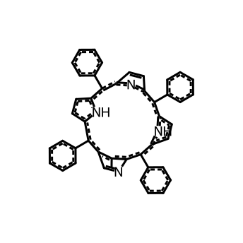 Cc1c2c(-c3ccccc3)c3ccc([nH]3)c(-c3ccccc3)c3nc(c(-c4ccccc4)c4ccc([nH]4)c(-c4ccccc4)c1N=C2)C=C3